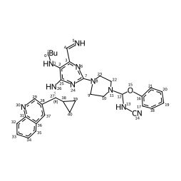 CCC(C)Nc1c(C=N)nc(N2CCN(C(NC#N)Oc3ccccc3)CC2)nc1N[C@@H](c1cnc2ccccc2c1)C1CC1